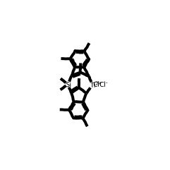 CC1=C2c3c(C)cc(C)cc3[CH]1[Ti+2][CH]1C(C)=C(c3c(C)cc(C)cc31)[Si]2(C)C.[Cl-].[Cl-]